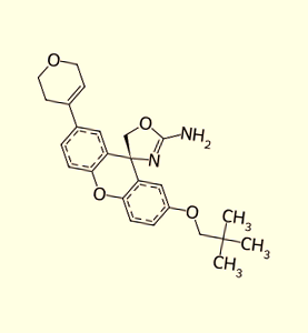 CC(C)(C)COc1ccc2c(c1)[C@]1(COC(N)=N1)c1cc(C3=CCOCC3)ccc1O2